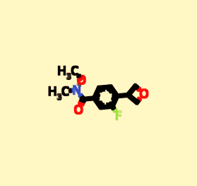 CON(C)C(=O)c1ccc(C2COC2)c(F)c1